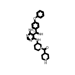 N=C(c1ccc(Oc2ccccc2)cc1)c1c(N)ncnc1NC1CCCN(C(=O)C2CCNCC2)C1